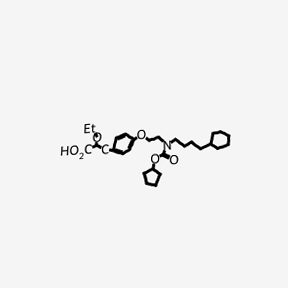 CCOC(Cc1ccc(OCCN(CCCCC2CCCCC2)C(=O)OC2CCCC2)cc1)C(=O)O